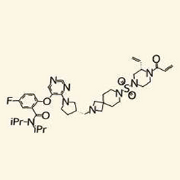 C=CC(=O)N1CCN(S(=O)(=O)N2CCC3(CC2)CN(C[C@@H]2CCN(c4ncncc4Oc4ccc(F)cc4C(=O)N(C(C)C)C(C)C)C2)C3)C[C@@H]1C=C